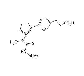 CCCCCCNC(=S)N(C)c1cccc(-c2ccc(CCC(=O)O)cc2)c1